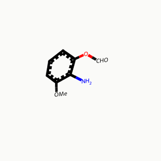 COc1cccc(OC=O)c1N